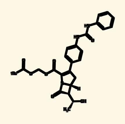 C[C@@H](O)[C@H]1C(=O)N2C(C(=O)OCOC(=O)C(C)(C)C)=C(c3ccc(NC(=O)Nc4ccccc4)cc3)C[C@H]12